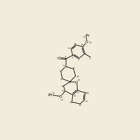 Cc1cc(C(=O)N2CCC3(CC2)CC(OC(C)C)C2=C(N=CCC2)O3)ccc1OC(C)C